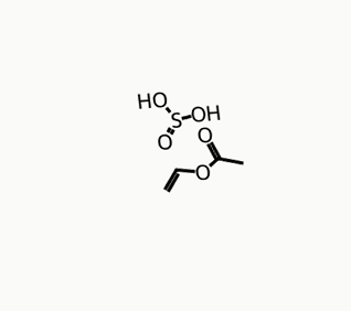 C=COC(C)=O.O=S(O)O